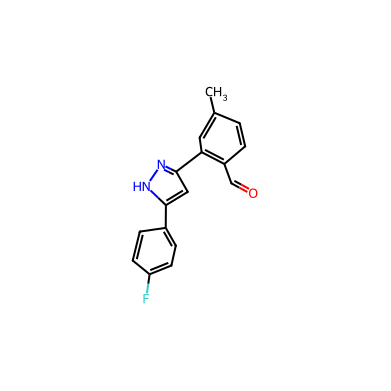 Cc1ccc(C=O)c(-c2cc(-c3ccc(F)cc3)[nH]n2)c1